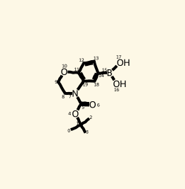 CC(C)(C)OC(=O)N1CCOc2ccc(B(O)O)cc21